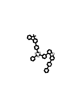 CC1(C)c2ccccc2-c2cc(-c3ccc(-c4nc(-c5ccccc5)nc(-c5cccc(-c6cccc7oc8ccc(C9=CC=C(c%10ccccc%10)CC9)cc8c67)c5)n4)cc3)ccc21